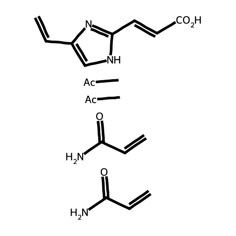 C=CC(N)=O.C=CC(N)=O.C=Cc1c[nH]c(C=CC(=O)O)n1.CC(C)=O.CC(C)=O